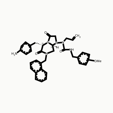 C=CCN(C(=O)NCc1ccc(OC)cc1)N1CC(=O)N2[C@@H](Cc3ccc(N)cc3)C(=O)N(Cc3cccc4ccccc34)C[C@@H]21